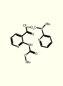 CC(C)(C)N(C(=O)O)c1ccccn1.CC(C)(C)OC(=O)Nc1ncccc1C(=O)C(F)(F)F